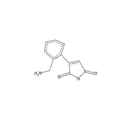 NCc1ccccc1C1=CC(=O)OC1=O